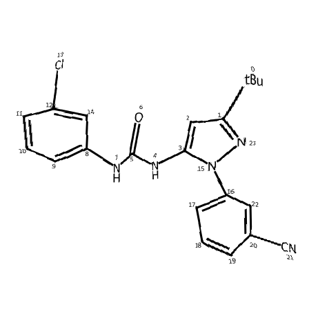 CC(C)(C)c1cc(NC(=O)Nc2cccc(Cl)c2)n(-c2cccc(C#N)c2)n1